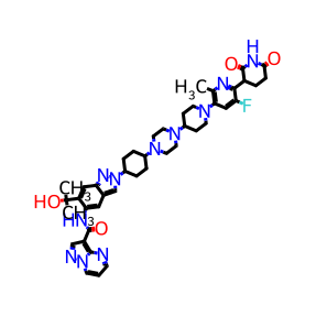 Cc1nc(C2CCC(=O)NC2=O)c(F)cc1N1CCC(N2CCN(C3CCC(n4cc5cc(NC(=O)c6cnn7cccnc67)c(C(C)(C)O)cc5n4)CC3)CC2)CC1